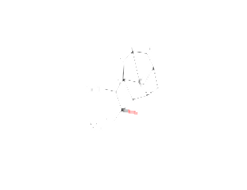 CCCC(C(=O)OC)C12CC3CC(CC(C3)C1)C2